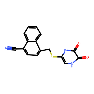 N#Cc1ccc(CSc2c[nH]c(=O)c(=O)[nH]2)c2ccccc12